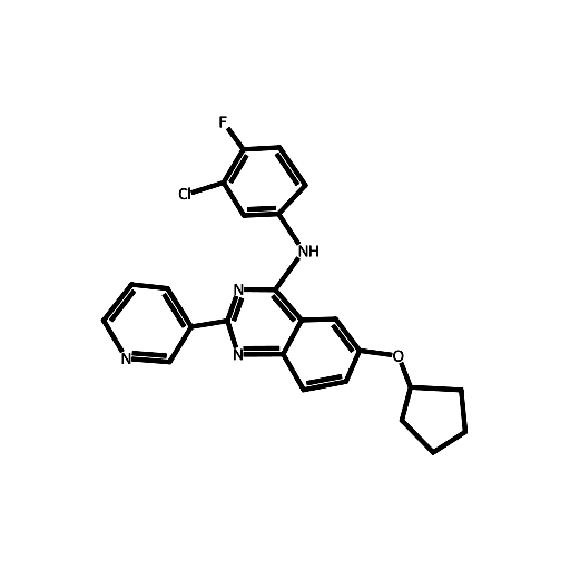 Fc1ccc(Nc2nc(-c3cccnc3)nc3ccc(OC4CCCC4)cc23)cc1Cl